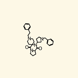 O=C1C2CCCN2C(=O)C2(CCN(CCc3ccccc3)CC2)N1C1CCN(Cc2ccccc2)C1